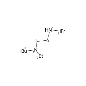 CCC(C)N(CC)CCNC(C)C